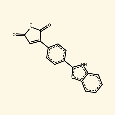 O=C1C=C(c2ccc(-c3nc4ccccc4[nH]3)cc2)C(=O)N1